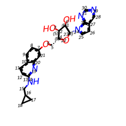 O[C@@H]1[C@H](O)[C@@H](COc2ccc3ccc(NCC4CC4)nc3c2)O[C@H]1n1ccc2cncnc21